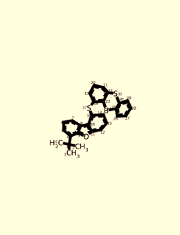 CC(C)(C)c1cccc2c1oc1ccc3c(c12)Sc1cccc2c1B3c1ccccc1S2